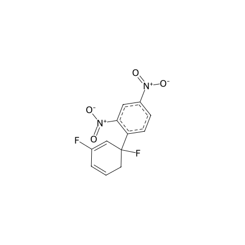 O=[N+]([O-])c1ccc(C2(F)C=C(F)C=CC2)c([N+](=O)[O-])c1